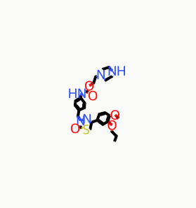 CCCOc1cc(C2=NN(Cc3ccc(NC(=O)OCCN4CCNCC4)cc3)C(=O)SC2)ccc1OC